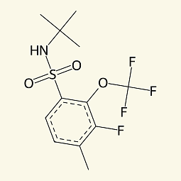 Cc1ccc(S(=O)(=O)NC(C)(C)C)c(OC(F)(F)F)c1F